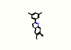 Cc1cc(C)cc(-c2ccc3cc(C)c(C)cc3n2)c1